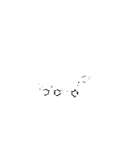 CNC(=O)c1cc(Oc2cccc(NC(=O)Nc3cc(C(F)(F)F)c(Cl)cc3OCCN3CCNCC3)c2)ccn1